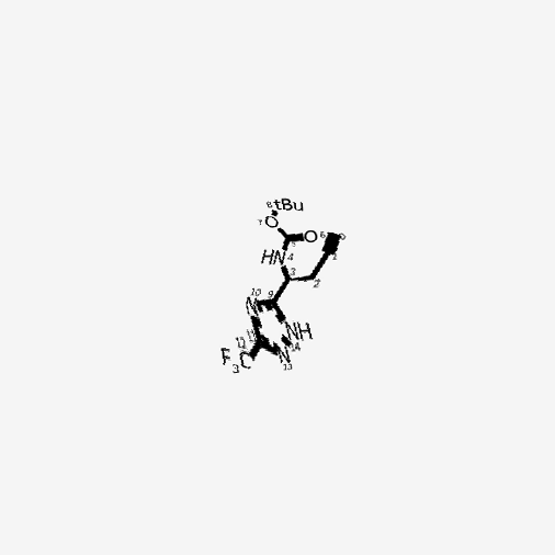 C#CC[C@H](NC(=O)OC(C)(C)C)c1nc(C(F)(F)F)n[nH]1